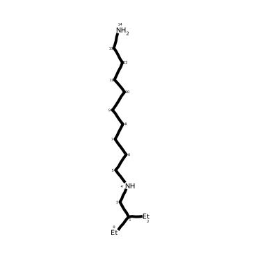 CCC(CC)CNCCCCCCCCCN